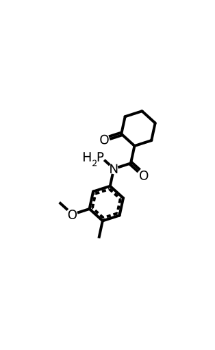 COc1cc(N(P)C(=O)C2CCCCC2=O)ccc1C